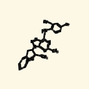 COC(C)C(Cc1ccccc1)n1nnc2c(Nc3ccc(C(C)C)cc3Br)nc(C)nc21